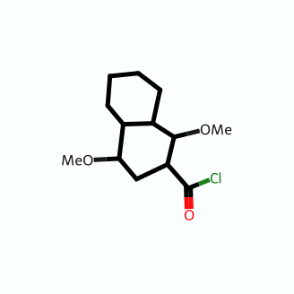 COC1CC(C(=O)Cl)C(OC)C2CCCCC12